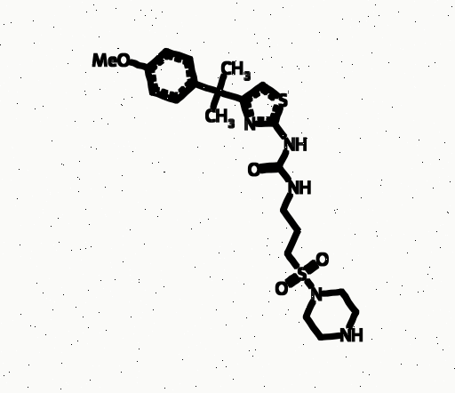 COc1ccc(C(C)(C)c2csc(NC(=O)NCCCS(=O)(=O)N3CCNCC3)n2)cc1